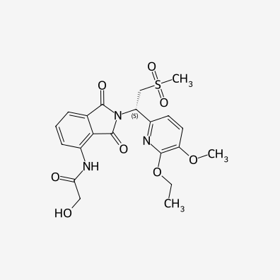 CCOc1nc([C@@H](CS(C)(=O)=O)N2C(=O)c3cccc(NC(=O)CO)c3C2=O)ccc1OC